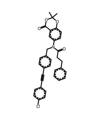 CC1(C)OC(=O)c2cc(N(Cc3ccc(C#Cc4ccc(Cl)cc4)cc3)C(=O)CCc3ccccc3)ccc2O1